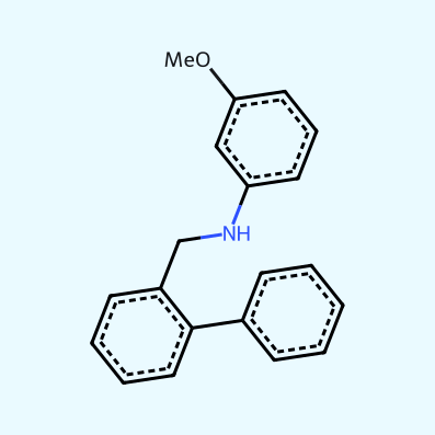 COc1cccc(NCc2ccccc2-c2ccccc2)c1